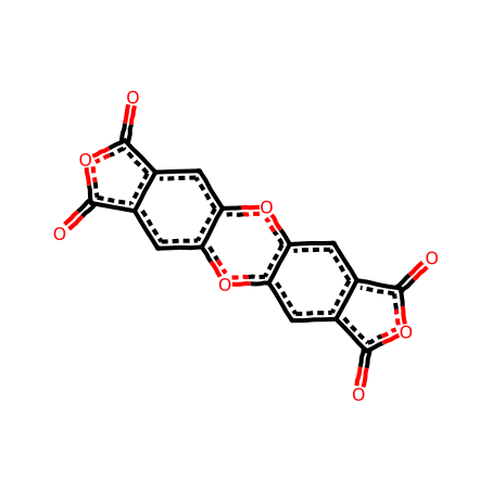 O=c1oc(=O)c2cc3oc4cc5c(=O)oc(=O)c5cc4oc3cc12